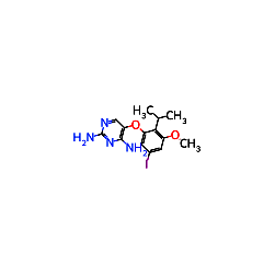 COc1cc(I)cc(Oc2cnc(N)nc2N)c1C(C)C